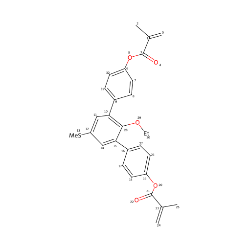 C=C(C)C(=O)Oc1ccc(-c2cc(SC)cc(-c3ccc(OC(=O)C(=C)C)cc3)c2OCC)cc1